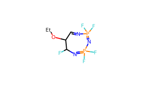 CCOC1/C=N/P(F)(F)=NP(F)(F)=NC1F